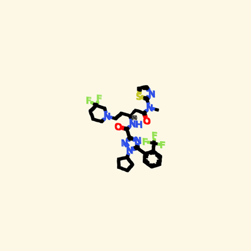 CN(C(=O)C[C@H](CCN1CCCC(F)(F)C1)NC(=O)c1nc(-c2ccccc2C(F)(F)F)n(C2CCCC2)n1)c1nccs1